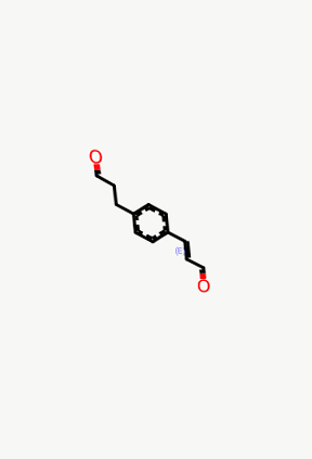 O=C/C=C/c1ccc(CCC=O)cc1